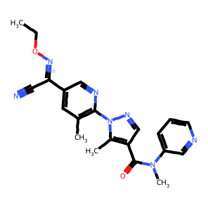 CCO/N=C(\C#N)c1cnc(-n2ncc(C(=O)N(C)c3cccnc3)c2C)c(C)c1